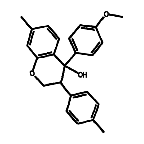 COc1ccc(C2(O)c3ccc(C)cc3OCC2c2ccc(C)cc2)cc1